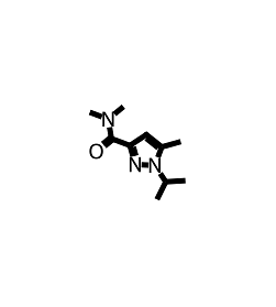 Cc1cc(C(=O)N(C)C)nn1C(C)C